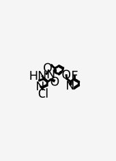 Cc1ccc(OCc2ncccc2F)cc1-n1c(=O)[nH]c2cnc(Cl)cc2c1=O